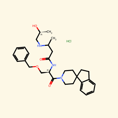 CC(CC(=O)N[C@H](COCc1ccccc1)C(=O)N1CCC2(CCc3ccccc32)CC1)NC[C@@H](C)O.Cl